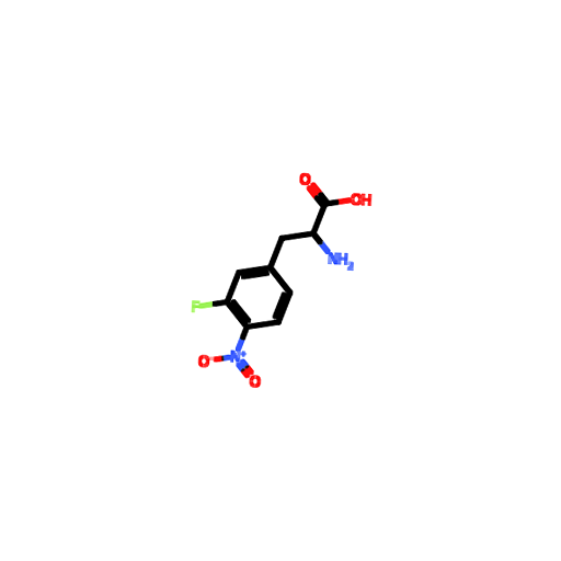 NC(Cc1ccc([N+](=O)[O-])c(F)c1)C(=O)O